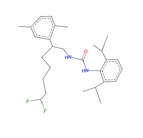 Cc1ccc(C)c(C(CCCCC(F)F)CNC(=O)Nc2c(C(C)C)cccc2C(C)C)c1